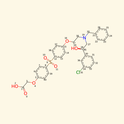 O=C(O)COc1ccc(S(=O)(=O)c2ccc(OCCN(Cc3ccccc3)C[C@H](O)c3cccc(Cl)c3)cc2)cc1